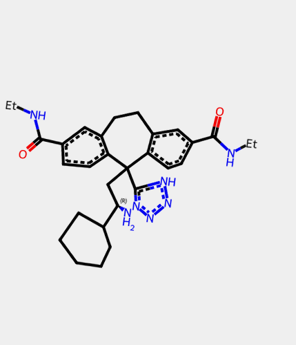 CCNC(=O)c1ccc2c(c1)CCc1cc(C(=O)NCC)ccc1C2(C[C@@H](N)C1CCCCC1)c1nnn[nH]1